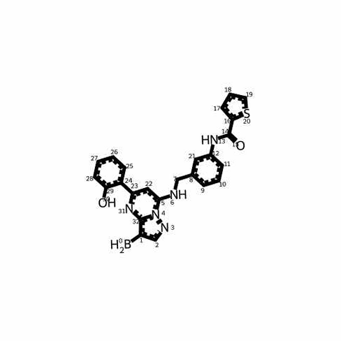 Bc1cnn2c(NCc3cccc(NC(=O)c4cccs4)c3)cc(-c3ccccc3O)nc12